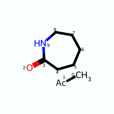 CC(C)=O.O=C1CCCCCN1